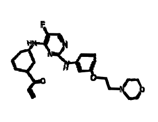 C=CC(=O)C1CCC[C@@H](Nc2nc(Nc3cccc(OCCN4CCOCC4)c3)ncc2F)C1